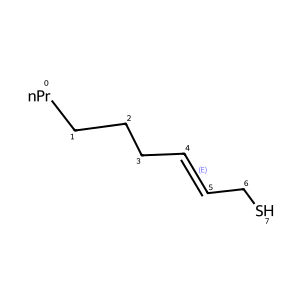 CCCCCC/C=C/CS